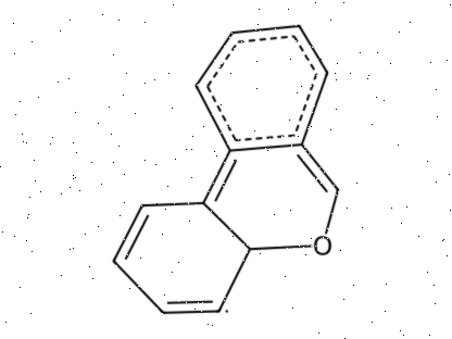 [C]1=CC=CC2=c3ccccc3=COC12